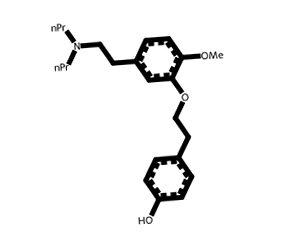 CCCN(CCC)CCc1ccc(OC)c(OCCc2ccc(O)cc2)c1